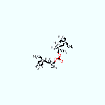 C=C[Si](C=C)(C=C)CC[Si](C)(C)COC(=O)OC[Si](C)(C)CC[Si](C=C)(C=C)C=C